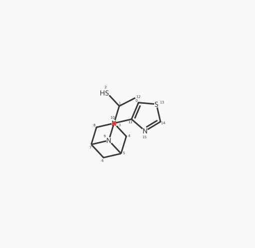 CC(S)N1CC2CC(C1)N2Cc1cscn1